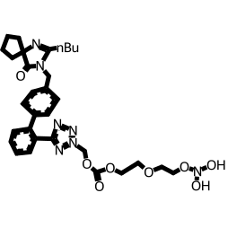 CCCCC1=NC2(CCCC2)C(=O)N1Cc1ccc(-c2ccccc2-c2nnn(COC(=O)OCCOCCON(O)O)n2)cc1